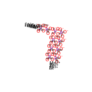 O=P([O-])([O-])OP(=O)([O-])[O-].O=P([O-])([O-])OP(=O)([O-])[O-].O=P([O-])([O-])OP(=O)([O-])[O-].O=P([O-])([O-])OP(=O)([O-])[O-].O=P([O-])([O-])OP(=O)([O-])[O-].[Fe+3].[Fe+3].[Fe+3].[Fe+3].[Mn+2].[Mn+2].[Mn+2].[Mn+2]